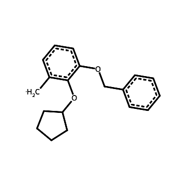 [CH2]c1cccc(OCc2ccccc2)c1OC1CCCC1